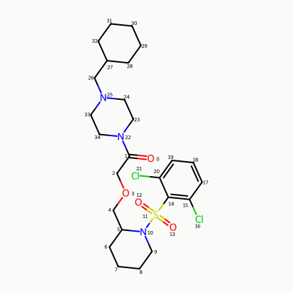 O=C(COCC1CCCCN1S(=O)(=O)c1c(Cl)cccc1Cl)N1CCN(CC2CCCCC2)CC1